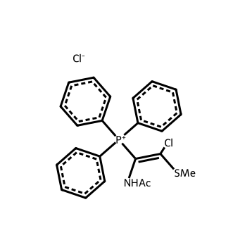 CS/C(Cl)=C(\NC(C)=O)[P+](c1ccccc1)(c1ccccc1)c1ccccc1.[Cl-]